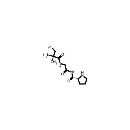 CC(C)C[C@@](C)(N)C(=O)NCC(=O)NC(=O)[C@H]1CCCN1